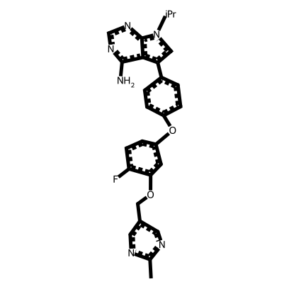 Cc1ncc(COc2cc(Oc3ccc(-c4cn(C(C)C)c5ncnc(N)c45)cc3)ccc2F)cn1